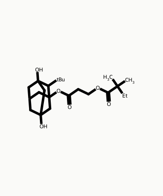 CCC(C)(C)C(=O)OCCC(=O)OC12CC3CC(O)(CC(O)(C3)C1C(C)(C)C)C2